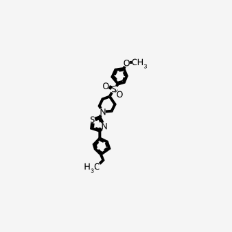 CCc1ccc(-c2csc(N3CCC(S(=O)(=O)c4ccc(OC)cc4)CC3)n2)cc1